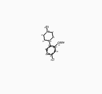 CCN1CCN(c2cnc(Cl)cc2OC)CC1